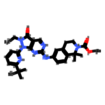 CC(C)(C)OC(=O)N1CCc2cc(Nc3ncc4c(=O)n(CC(F)(F)F)n(-c5cccc(C(C)(C)C#N)n5)c4n3)ccc2C1(C)C